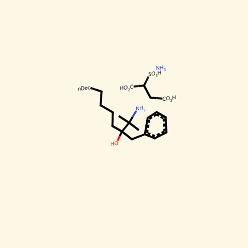 CCCCCCCCCCCCCCC(O)(Cc1ccccc1)C(C)(C)N.N.O=C(O)CC(C(=O)O)S(=O)(=O)O